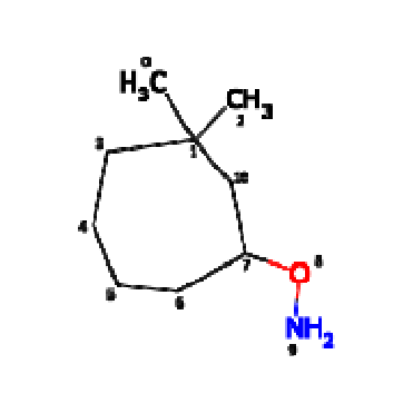 CC1(C)CCCCC(ON)C1